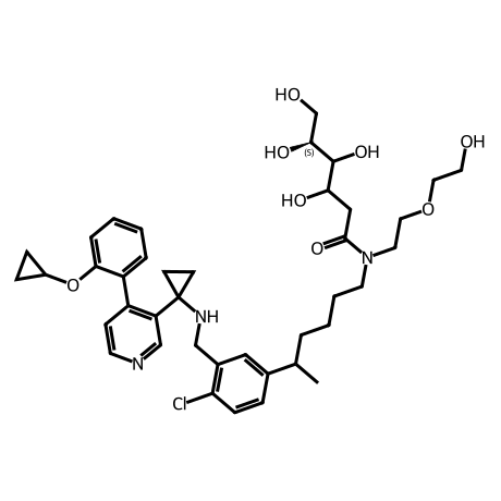 CC(CCCCN(CCOCCO)C(=O)CC(O)C(O)[C@@H](O)CO)c1ccc(Cl)c(CNC2(c3cnccc3-c3ccccc3OC3CC3)CC2)c1